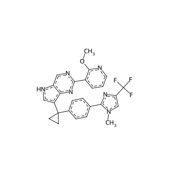 COc1ncccc1-c1ncc2[nH]cc(C3(c4ccc(-c5nc(C(F)(F)F)cn5C)cc4)CC3)c2n1